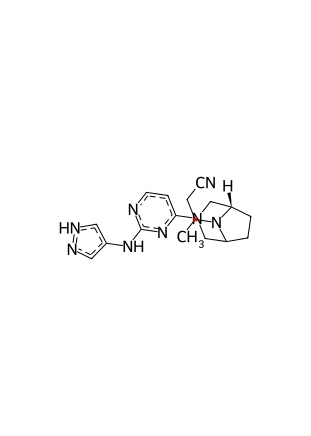 CC(CC#N)N1C2CC[C@H]1CN(c1ccnc(Nc3cn[nH]c3)n1)C2